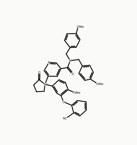 COc1ccc(CN(Cc2ccc(OC)cc2)C(=O)c2cncc([N+]3(c4ccc(OC)c(Oc5ccccc5C#N)c4)CCCC3=O)c2)cc1